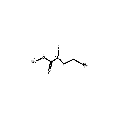 CC(C)(C)OC(=O)N(F)CCN